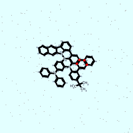 CC(C)(C)c1ccc(N2c3cc(N(c4ccccc4)c4ccccc4)ccc3B3c4c(cc(-c5ccccc5)cc42)-c2cccc4c5cc6ccccc6cc5n3c24)c(-c2ccccc2)c1